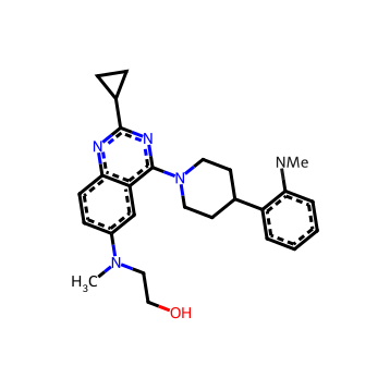 CNc1ccccc1C1CCN(c2nc(C3CC3)nc3ccc(N(C)CCO)cc23)CC1